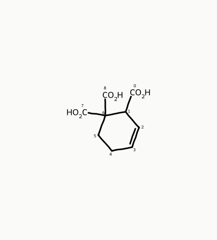 O=C(O)C1C=CCCC1(C(=O)O)C(=O)O